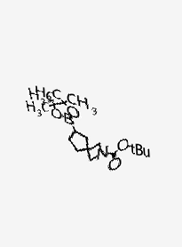 CC(C)(C)OC(=O)N1CC2(CCC(B3OC(C)(C)C(C)(C)O3)C2)C1